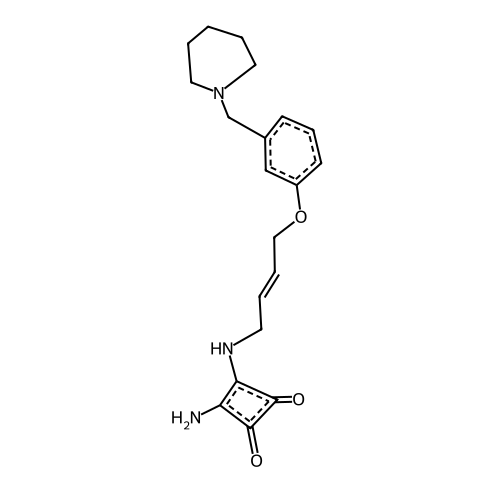 Nc1c(NCC=CCOc2cccc(CN3CCCCC3)c2)c(=O)c1=O